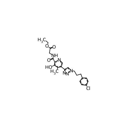 CCOC(=O)CNC(=O)c1ncc(-c2cn(CCCc3ccc(Cl)cc3)nn2)c(C)c1O